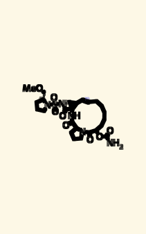 COC[C@H]1CCCN1S(=O)(=O)NC(=O)C12CC1/C=C/CCCCCC(OC(N)=O)C(=O)N1CCCC1C(=O)N2